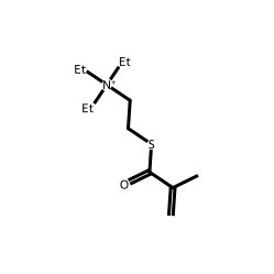 C=C(C)C(=O)SCC[N+](CC)(CC)CC